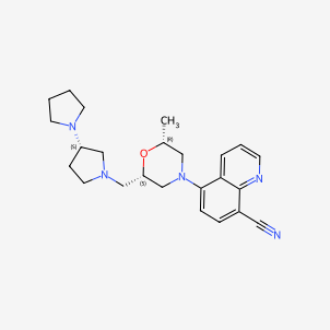 C[C@@H]1CN(c2ccc(C#N)c3ncccc23)C[C@H](CN2CC[C@H](N3CCCC3)C2)O1